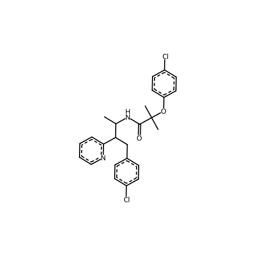 CC(NC(=O)C(C)(C)Oc1ccc(Cl)cc1)C(Cc1ccc(Cl)cc1)c1ccccn1